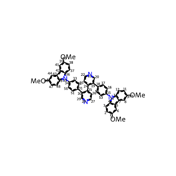 COc1ccc2c(c1)c1cc(OC)ccc1n2-c1ccc(-c2cnccc2-c2ccncc2-c2ccc(-n3c4ccc(OC)cc4c4cc(OC)ccc43)cc2)cc1